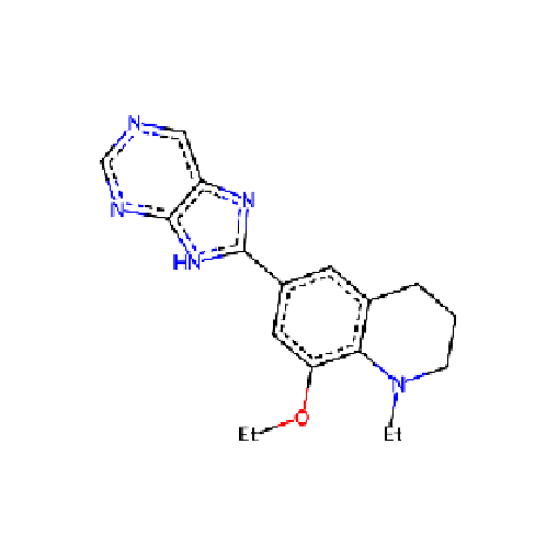 CCOc1cc(-c2nc3cncnc3[nH]2)cc2c1N(CC)CCC2